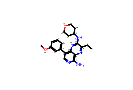 CCc1nc2c(N)ncc(-c3cccc(OC)c3)c2nc1NC1CCOCC1